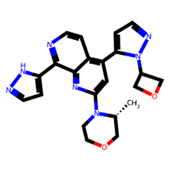 C[C@@H]1COCCN1c1cc(-c2ccnn2C2COC2)c2ccnc(-c3ccn[nH]3)c2n1